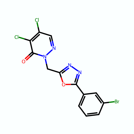 O=c1c(Cl)c(Cl)cnn1Cc1nnc(-c2cccc(Br)c2)o1